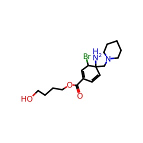 NC1(CN2CCCCC2)C=CC(C(=O)OCCCCO)=CC1Br